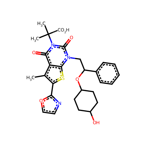 Cc1c(-c2ncco2)sc2c1c(=O)n(C(C)(C)C(=O)O)c(=O)n2CC(OC1CCC(O)CC1)c1ccccc1